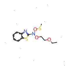 CCOCCON(OSC)c1nc2ccccc2s1